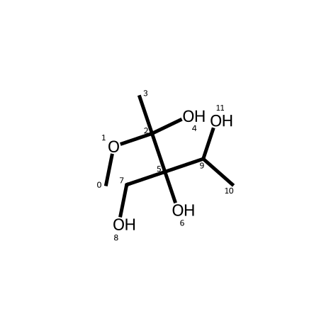 COC(C)(O)C(O)(CO)C(C)O